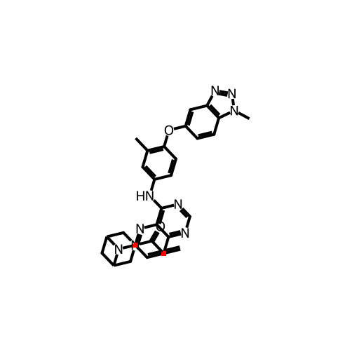 C=CC(=O)N1CC2CC(C1)N2c1ccc2ncnc(Nc3ccc(Oc4ccc5c(c4)nnn5C)c(C)c3)c2n1